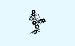 NC(=O)C(CC1CCCCC1)NC(=O)Nc1ccc(N2CCCN(C(=O)C3CCNCC3)CC2)c(NC(=O)c2cc3ccccc3o2)c1